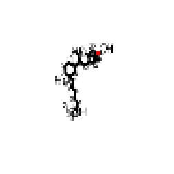 [2H]C([2H])([2H])CCCCCC1(O)C=CC=C(/C(=C/C2C3C[C@@H](O)C[C@@]2(O)C3=C)CC)C1